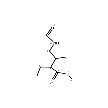 CCC(C(=O)OC)C(C)CNC=O